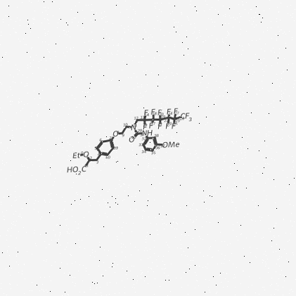 CCOC(Cc1ccc(OCCN(CC(F)(F)C(F)(F)C(F)(F)C(F)(F)C(F)(F)C(F)(F)F)C(=O)Nc2cccc(OC)c2)cc1)C(=O)O